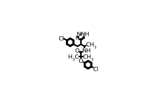 CC(NC(=O)C(C)(C)Oc1ccc(Cl)cc1)C(Cc1ccc(Cl)cc1)c1c[nH]nn1